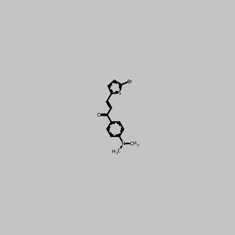 CN(C)c1ccc(C(=O)C=Cc2ccc(Br)s2)cc1